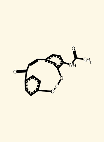 CC(=O)Nc1ccc2cc1OCOc1ccc(cc1)C(=O)C=C2